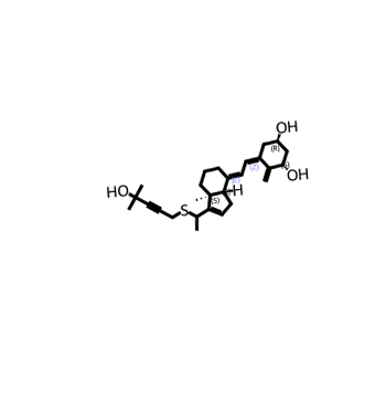 C=C1/C(=C\C=C2/CCC[C@]3(C)C(C(C)SCC#CC(C)(C)O)=CC[C@@H]23)C[C@@H](O)C[C@@H]1O